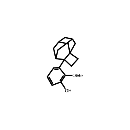 COc1c(O)cccc1C12CCC13CC1CC(CC2C1)C3